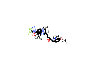 CCCC(CCCC(=O)c1cc2ccc(OC)cc2n1C)Cn1cc2c(C)c(C(=O)NCC(F)(F)F)ccc2n1